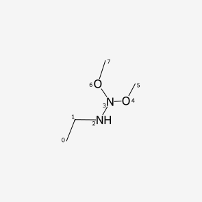 CCNN(OC)OC